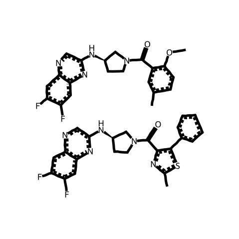 COc1ccc(C)cc1C(=O)N1CC[C@@H](Nc2cnc3cc(F)c(F)cc3n2)C1.Cc1nc(C(=O)N2CC[C@@H](Nc3cnc4cc(F)c(F)cc4n3)C2)c(-c2ccccc2)s1